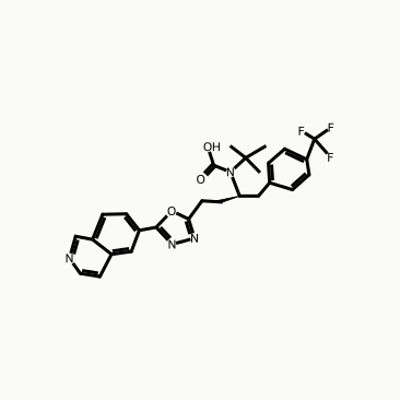 CC(C)(C)N(C(=O)O)[C@H](CCc1nnc(-c2ccc3cnccc3c2)o1)Cc1ccc(C(F)(F)F)cc1